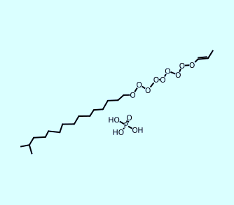 CC=COOOOOOOOOCCCCCCCCCCCCCC(C)C.O=P(O)(O)O